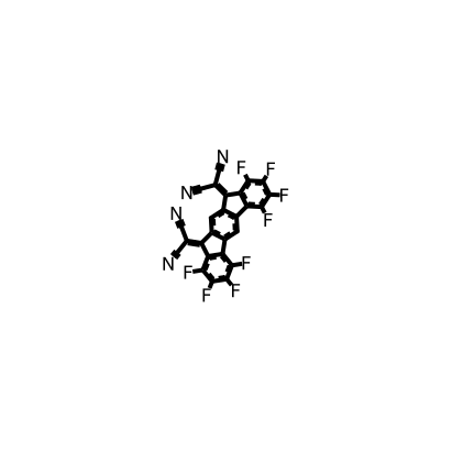 N#CC(C#N)=C1c2cc3c(cc2-c2c(F)c(F)c(F)c(F)c21)-c1c(F)c(F)c(F)c(F)c1C3=C(C#N)C#N